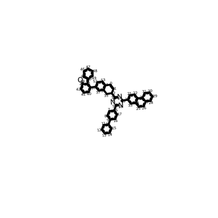 C1=CC(c2nc(-c3ccc(-c4ccccc4)cc3)nc(-c3ccc4c(ccc5ccccc54)c3)n2)Cc2cc(-c3cccc4oc5ccccc5c34)ccc21